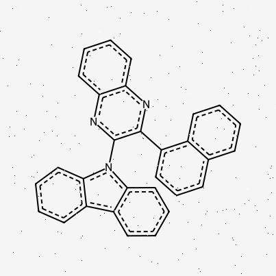 c1ccc2c(-c3nc4ccccc4nc3-n3c4ccccc4c4ccccc43)cccc2c1